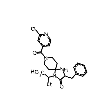 CCC(C(=O)O)N1C(=O)C(Cc2ccccc2)NC12CCN(C(=O)c1ccnc(Cl)c1)CC2